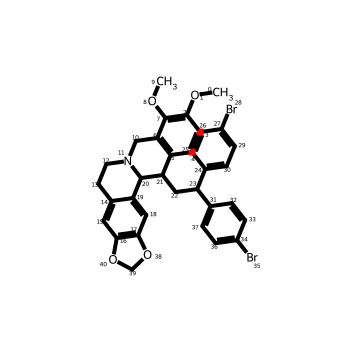 COc1ccc2c(c1OC)CN1CCc3cc4c(cc3C1C2CC(c1ccc(Br)cc1)c1ccc(Br)cc1)OCO4